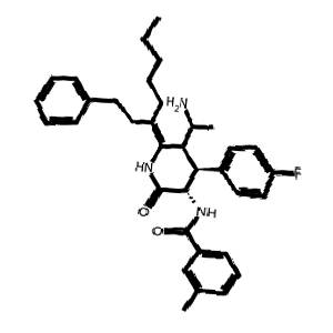 CCCCC/C(CCc1ccccc1)=C1/NC(=O)[C@@H](NC(=O)c2cccc(C)c2)[C@H](c2ccc(F)cc2)C1C(C)N